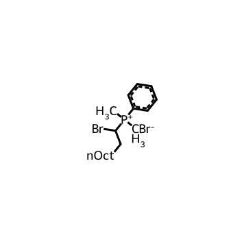 CCCCCCCCCC(Br)[P+](C)(C)c1ccccc1.[Br-]